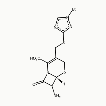 CCn1cnc(SCC2=C(C(=O)O)N3C(=O)C(N)[C@H]3SC2)n1